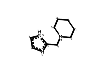 [CH]1CCN(Cc2ncc[nH]2)CC1